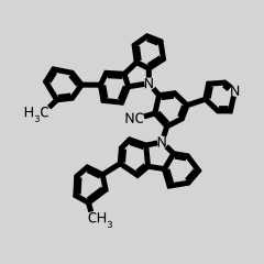 Cc1cccc(-c2ccc3c(c2)c2ccccc2n3-c2cc(-c3ccncc3)cc(-n3c4ccccc4c4cc(-c5cccc(C)c5)ccc43)c2C#N)c1